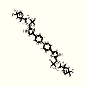 CC1(C(=O)N[C@H](c2nc(-c3ccc(-c4ccc(-c5c[nH]c([C@@H](NC(=O)C6(C)CC(F)(F)CN6)C(C)(C)C)n5)cc4)cc3)c[nH]2)C(C)(C)C)CC(F)(F)CN1